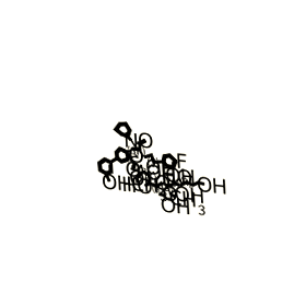 CO[C@@H](O[C@H](CCO)C(O)[C@H](O)[C@H](CS(=O)(=O)c1cc(-c2cccc(O)c2)ccc1[C@@H]1[C@@H](CC[C@H](O)c2ccc(F)cc2)C(=O)N1c1ccccc1)OC)[C@@H](O)C(O)[C@H](O)CCO